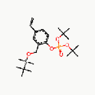 C=Cc1ccc(OP(=O)(OC(C)(C)C)OC(C)(C)C)c(CO[Si](C)(C)C(C)(C)C)c1